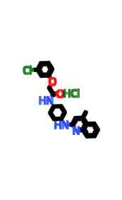 Cc1cc(N[C@H]2CC[C@@H](NC(=O)COc3cccc(Cl)c3)CC2)nc2ccccc12.Cl